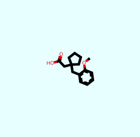 COc1ccccc1CC1(CC(=O)O)CCCC1